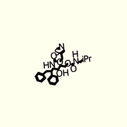 CC(C)CNC(=O)OCCC(O)C(NC(=O)OCc1cncs1)C(Cc1ccccc1)c1ccccc1